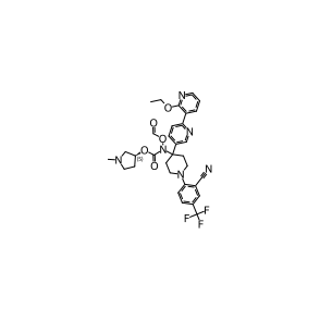 CCOc1ncccc1-c1ccc(C2(N(OC=O)C(=O)O[C@H]3CCN(C)C3)CCN(c3ccc(C(F)(F)F)cc3C#N)CC2)cn1